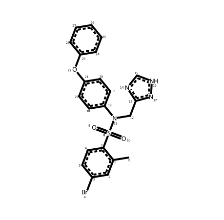 Cc1cc(Br)ccc1S(=O)(=O)N(Cc1nc[nH]n1)c1ccc(Oc2ccccc2)cc1